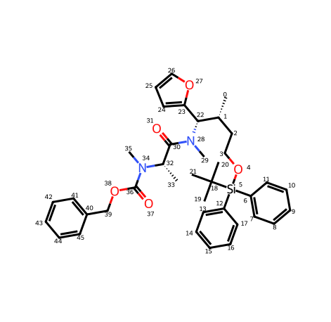 C[C@H](CCO[Si](c1ccccc1)(c1ccccc1)C(C)(C)C)[C@@H](c1ccco1)N(C)C(=O)[C@H](C)N(C)C(=O)OCc1ccccc1